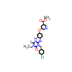 CCn1c(=S)[nH]/c(=N\c2ccc(Oc3cncc(C(=O)OC)c3)cc2)n(Cc2ccc(Cl)cc2)c1=O